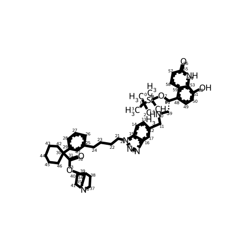 CC(C)(C)[Si](C)(C)O[C@@H](CNCc1ccc2c(c1)nnn2CCCCc1cccc(C2(C(=O)OC3CN4CCC3CC4)CCCCC2)c1)c1ccc(O)c2[nH]c(=O)ccc12